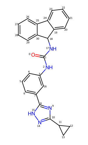 O=C(Nc1cccc(-c2nc(C3CC3)n[nH]2)c1)NC1c2ccccc2-c2ccccc21